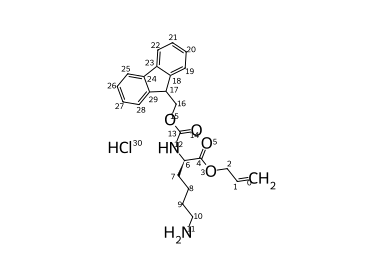 C=CCOC(=O)[C@@H](CCCCN)NC(=O)OCC1c2ccccc2-c2ccccc21.Cl